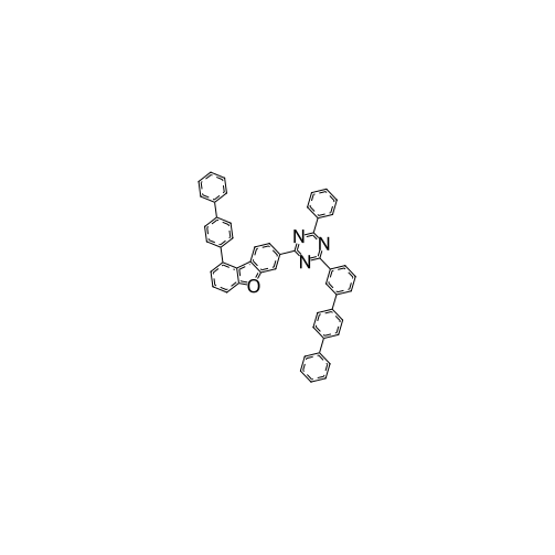 c1ccc(-c2ccc(-c3cccc(-c4nc(-c5ccccc5)nc(-c5ccc6c(c5)oc5cccc(-c7ccc(-c8ccccc8)cc7)c56)n4)c3)cc2)cc1